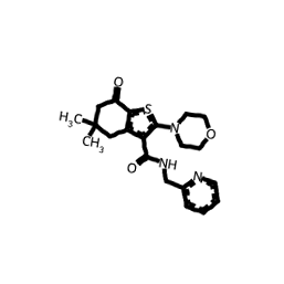 CC1(C)CC(=O)c2sc(N3CCOCC3)c(C(=O)NCc3ccccn3)c2C1